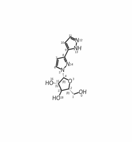 OC[C@H]1O[C@@H](n2ccc(-c3ccn[nH]3)n2)[C@@H](O)C1O